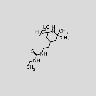 CCNC(=S)NCCC1CC(C)(C)NC(C)(C)C1